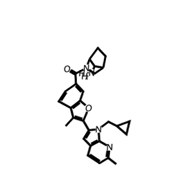 Cc1ccc2cc(-c3oc4cc(C(=O)N5CC6CCC5[C@@H]6N)ccc4c3C)n(CC3CC3)c2n1